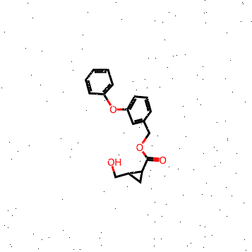 O=C(OCc1cccc(Oc2ccccc2)c1)C1CC1CO